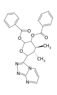 C[C@@H]1C(c2nnc3ncccn23)OC(OC(=O)c2ccccc2)C(OC(=O)c2ccccc2)[C@H]1C